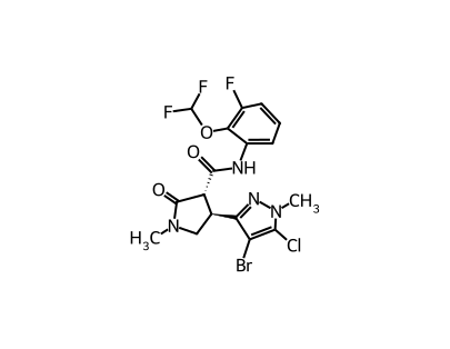 CN1C[C@H](c2nn(C)c(Cl)c2Br)[C@@H](C(=O)Nc2cccc(F)c2OC(F)F)C1=O